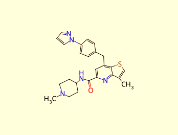 Cc1csc2c(Cc3ccc(-n4cccn4)cc3)cc(C(=O)NC3CCN(C)CC3)nc12